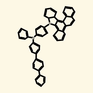 C1=CC2c3c(c4ccccc4c4ccc5ccccc5c34)N(c3ccc(N(c4ccccc4)c4ccc(-c5ccc(-c6ccccc6)cc5)cc4)cc3)C2C=C1